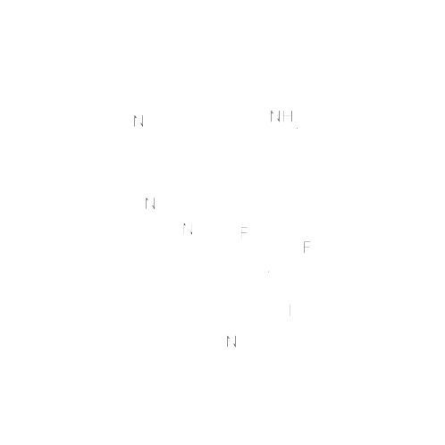 Cc1c2c(N)ccnc2nn1-c1cccnc1C(F)(F)F